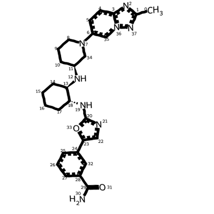 Cc1nc2ccc(N3CCC[C@H](N[C@@H]4CCCC[C@H]4Nc4ncc(-c5cccc(C(N)=O)c5)o4)C3)cn2n1